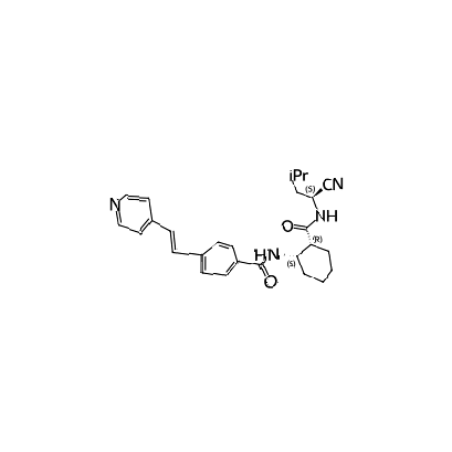 CC(C)C[C@@H](C#N)NC(=O)[C@@H]1CCCC[C@@H]1NC(=O)c1ccc(C=Cc2ccncc2)cc1